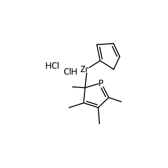 CC1=P[C](C)([Zr][C]2=CC=CC2)C(C)=C1C.Cl.Cl